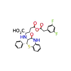 O=C(CC[C@H](N[C@@H]1C(=O)Nc2ccccc2S[C@@H]1c1ccccc1)C(=O)O)OC(=O)Cc1cc(F)cc(F)c1